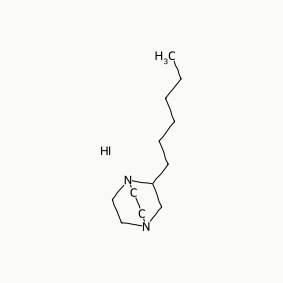 CCCCCCC1CN2CCN1CC2.I